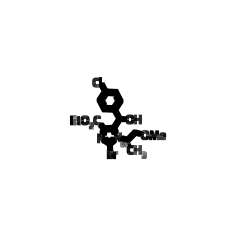 CCOC(=O)c1nc(Br)n([C@@H](C)COC)c1C(O)c1ccc(Cl)cc1